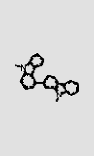 Cn1c2ccccc2c2ccc(-c3cccc4c3c3ccccc3n4C)cc21